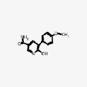 COc1ccc(-c2cc(C(N)=O)cnc2O)cc1